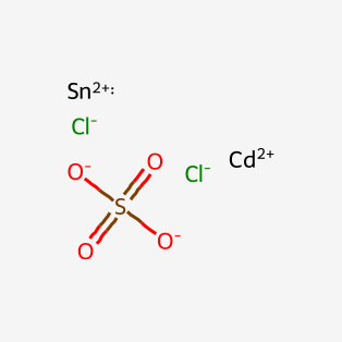 O=S(=O)([O-])[O-].[Cd+2].[Cl-].[Cl-].[Sn+2]